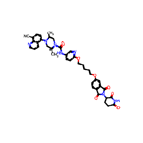 CC1CN(C(=O)Nc2ccc(OCCCCCOc3ccc4c(c3)C(=O)N(C3CCC(=O)NC3=O)C4=O)nc2)[C@H](C)CN1c1ccc(C#N)c2ncccc12